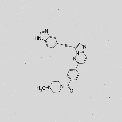 CN1CCN(C(=O)c2ccc(-c3ccc4ncc(C#Cc5ccc6[nH]cnc6c5)n4n3)cc2)CC1